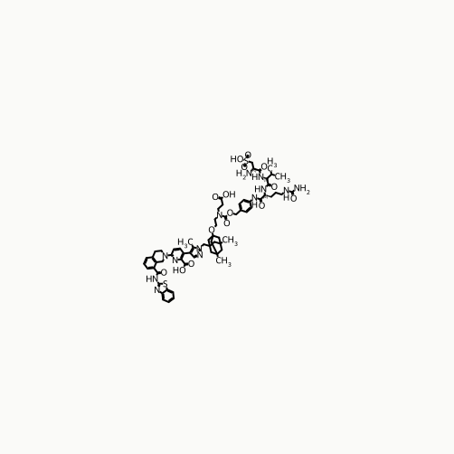 Cc1c(-c2ccc(N3CCc4cccc(C(=O)Nc5nc6ccccc6s5)c4C3)nc2C(=O)O)cnn1CC12CC3(C)CC(C)(C1)CC(OCCN(CCC(=O)O)C(=O)OCc1ccc(NC(=O)[C@H](CCCNC(N)=O)NC(=O)[C@@H](NC(=O)[C@@H](N)CS(=O)(=O)O)C(C)C)cc1)(C3)C2